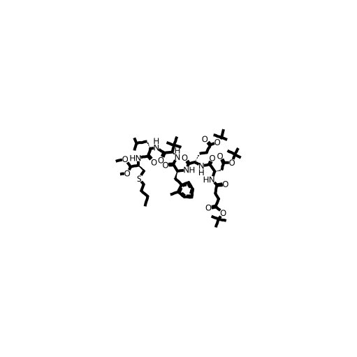 CCCCSC[C@H](NC(=O)[C@H](CC(C)C)NC(=O)[C@@H](NC(=O)[C@H](Cc1ccccc1C)NC(=O)[C@H](CCC(=O)OC(C)(C)C)NC(=O)[C@H](CC(=O)OC(C)(C)C)NC(=O)CCC(=O)OC(C)(C)C)C(C)(C)C)C(OC)OC